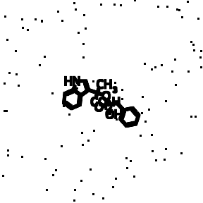 CC(OP(=O)(O)Cc1ccccc1)(C(=O)O)c1c[nH]c2ccccc12